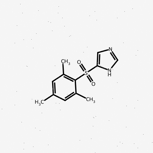 Cc1cc(C)c(S(=O)(=O)c2cnc[nH]2)c(C)c1